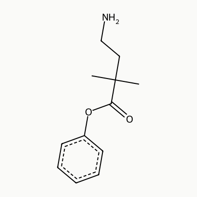 CC(C)(CCN)C(=O)Oc1ccccc1